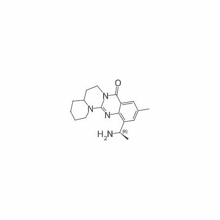 Cc1cc([C@@H](C)N)c2nc3n(c(=O)c2c1)CCC1CCCCN31